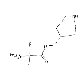 O=C(OCC1CCNCC1)C(F)(F)S(=O)(=O)O